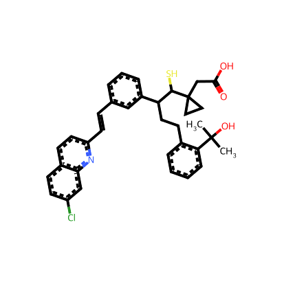 CC(C)(O)c1ccccc1CCC(c1cccc(/C=C/c2ccc3ccc(Cl)cc3n2)c1)C(S)C1(CC(=O)O)CC1